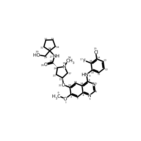 COc1cc2ncnc(Nc3cccc(Cl)c3F)c2cc1O[C@H]1C[C@H](C(=O)NC2(CO)CCCC2)N(C)C1